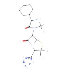 CC1(C)SC2C(N3C(=O)C(C4CCCCC4)NC3(C)C)C(=O)N2C1c1nnn[nH]1